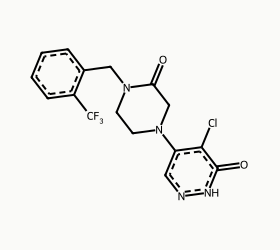 O=C1CN(c2cn[nH]c(=O)c2Cl)CCN1Cc1ccccc1C(F)(F)F